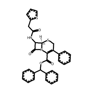 O=C(Cc1cccs1)NC1C(=O)N2C(C(=O)OC(c3ccccc3)c3ccccc3)=C(c3ccccc3)CS[C@H]12